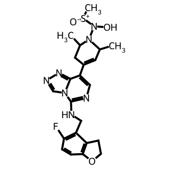 CC1C=C(c2cnc(NCc3c(F)ccc4c3CCO4)n3cnnc23)CC(C)N1N(O)[S+](C)[O-]